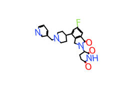 O=C1CCC(N2Cc3c(cc(F)cc3C3CCN(Cc4cccnc4)CC3)C2=O)C(=O)N1